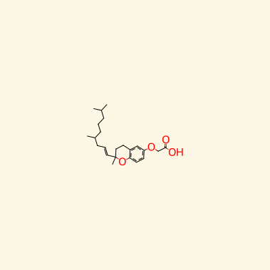 CC(C)CCCC(C)CC=CC1(C)CCc2cc(OCC(=O)O)ccc2O1